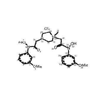 COc1cccc(N(O)C(=O)CN2CC[N+](C)(CC(=O)N(O)c3cccc(OC)c3)CC2)c1.[Cl-]